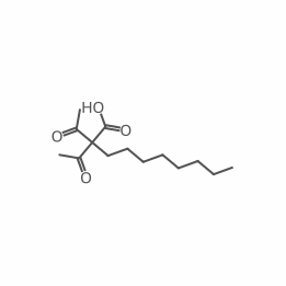 CCCCCCCCC(C(C)=O)(C(C)=O)C(=O)O